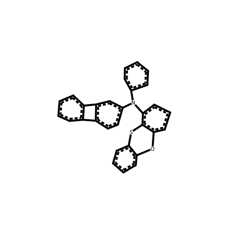 c1ccc(N(c2ccc3c(c2)-c2ccccc2-3)c2cccc3c2Sc2ccccc2O3)cc1